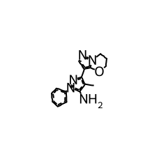 Cc1c(-c2cnn3c2OCCC3)nn(-c2ccccc2)c1N